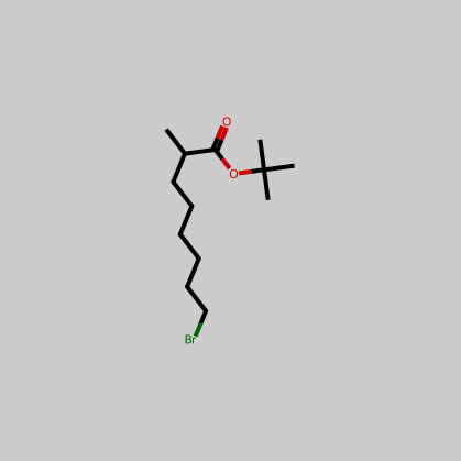 CC(CCCCCCBr)C(=O)OC(C)(C)C